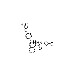 CCOc1ccc(-c2cc3ccccc3c(C(=O)NC3CC(=O)C3)n2)cc1